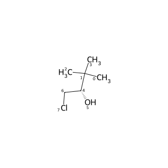 CC(C)(C)[C@H](O)CCl